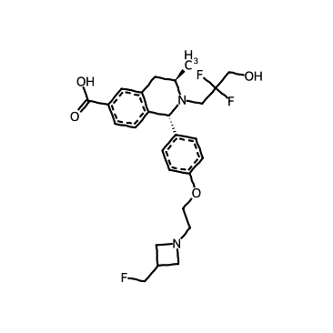 C[C@@H]1Cc2cc(C(=O)O)ccc2[C@@H](c2ccc(OCCN3CC(CF)C3)cc2)N1CC(F)(F)CO